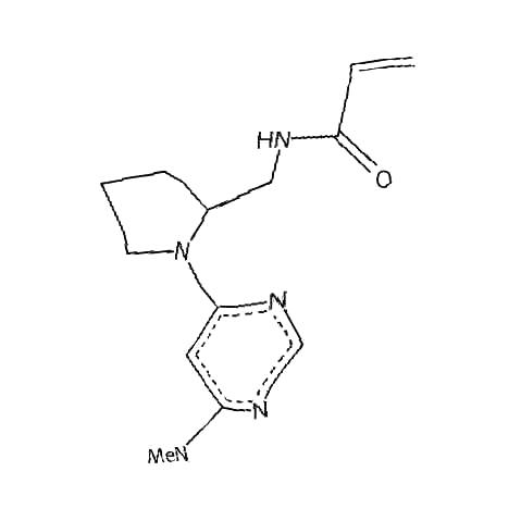 C=CC(=O)NCC1CCCN1c1cc(NC)ncn1